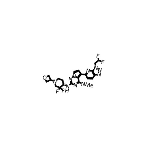 CNc1nc(N[C@@H]2CCN(C3COC3)CC2(F)F)nn2ccc(-c3ccc4nnn(CC(F)F)c4n3)c12